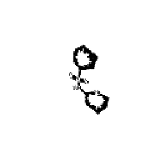 O=S(=O)(Nc1ccccn1)c1ccccc1